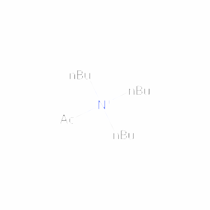 CCCC[N+](CCCC)(CCCC)C(C)=O